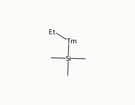 C[CH2][Tm][Si](C)(C)C